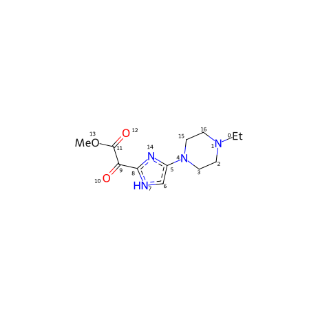 CCN1CCN(c2c[nH]c(C(=O)C(=O)OC)n2)CC1